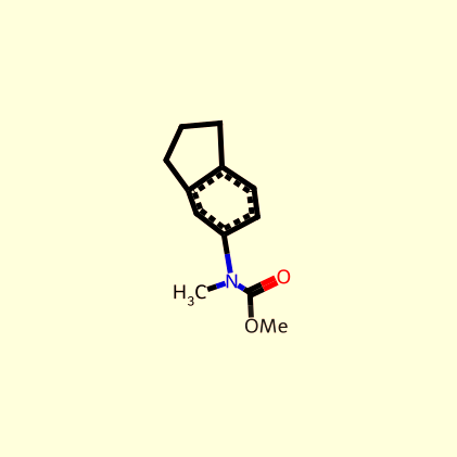 [CH2]OC(=O)N(C)c1ccc2c(c1)CCC2